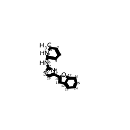 CC1C=CC=C(Nc2nc(-c3cc4ccccc4o3)cs2)N1